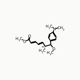 COC(=O)C=CC=C[C@@H](C)C(OC)c1ccc(N(C)C)cc1